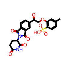 Cc1ccc(S(=O)(=O)O)c(OCC(=O)c2ccc3c(c2)C(=O)N(C2CCC(=O)NC2=O)C3=O)c1